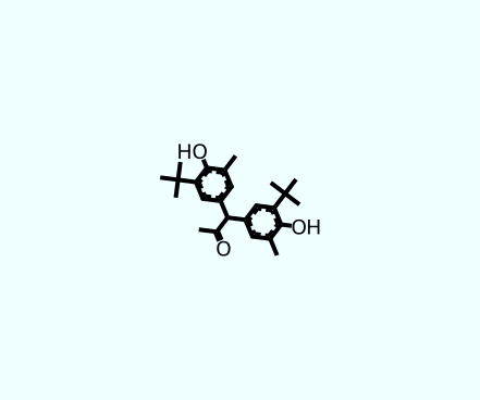 CC(=O)C(c1cc(C)c(O)c(C(C)(C)C)c1)c1cc(C)c(O)c(C(C)(C)C)c1